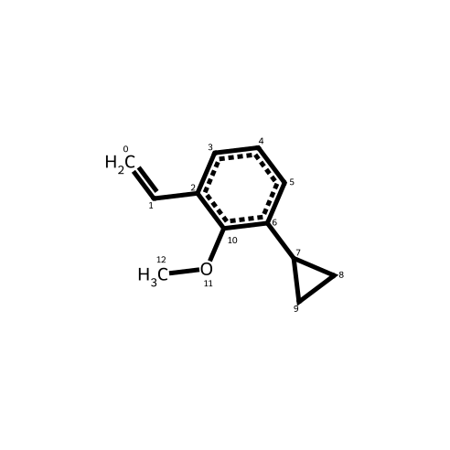 C=Cc1cccc(C2CC2)c1OC